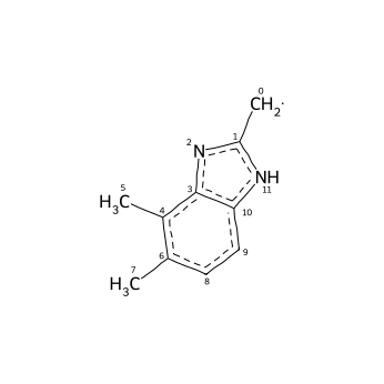 [CH2]c1nc2c(C)c(C)ccc2[nH]1